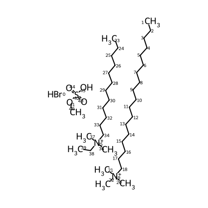 Br.CCCCCCCCCCCCCCCCCC[N+](C)(C)C.CCCCCCCCCCCC[N+](C)(C)CC.COS(=O)(=O)O